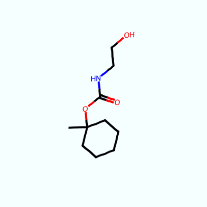 CC1(OC(=O)NCCO)CCCCC1